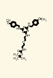 COc1ccc(CNc2nc(NCCOCCNC(=O)OC(C)(C)C)nc(NCc3ccc(OC)cc3)n2)cc1